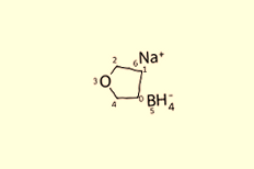 C1CCOC1.[BH4-].[Na+]